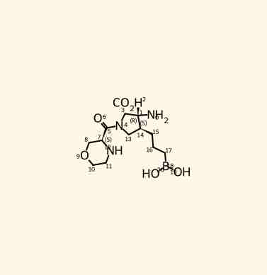 N[C@@]1(C(=O)O)CN(C(=O)[C@@H]2COCCN2)C[C@@H]1CCCB(O)O